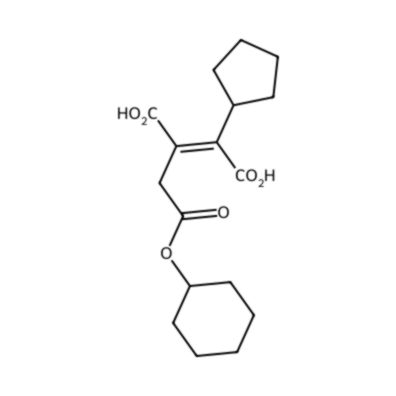 O=C(CC(C(=O)O)=C(C(=O)O)C1CCCC1)OC1CCCCC1